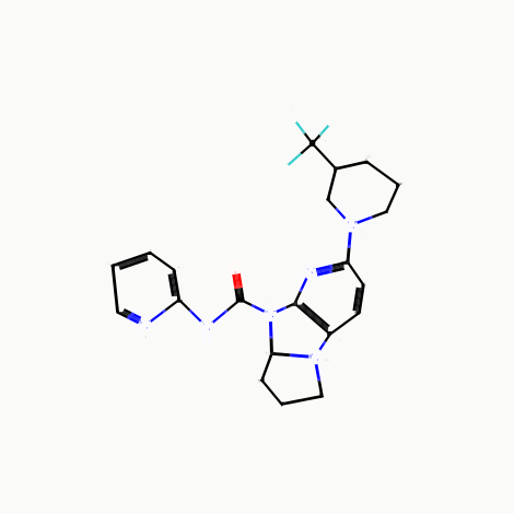 O=C(Nc1ccccn1)N1c2nc(N3CCCC(C(F)(F)F)C3)ccc2N2CCCC21